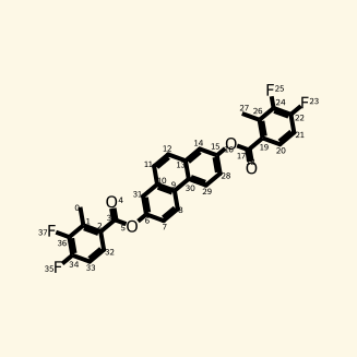 Cc1c(C(=O)Oc2ccc3c(ccc4cc(OC(=O)c5ccc(F)c(F)c5C)ccc43)c2)ccc(F)c1F